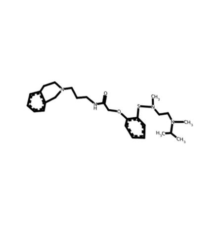 CC(C)N(C)CCN(C)Sc1ccccc1OCC(=O)NCCCN1CCc2ccccc2C1